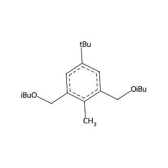 Cc1c(COCC(C)C)cc(C(C)(C)C)cc1COCC(C)C